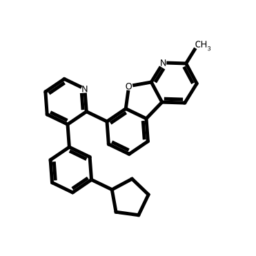 Cc1ccc2c(n1)oc1c(-c3ncccc3-c3cccc(C4CCCC4)c3)cccc12